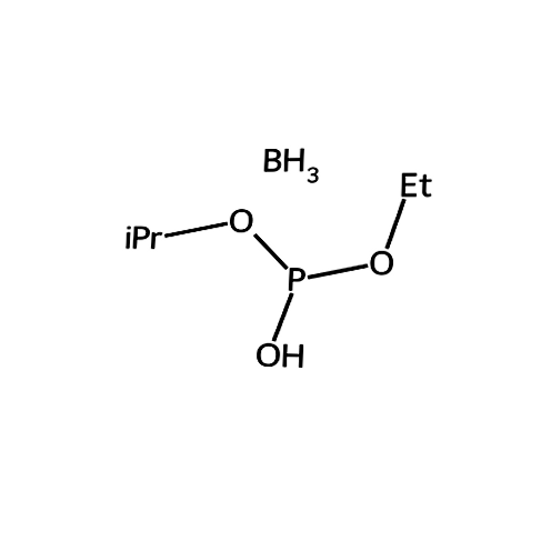 B.CCOP(O)OC(C)C